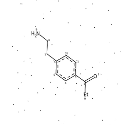 CCC(=O)c1ccc(CCN)cc1